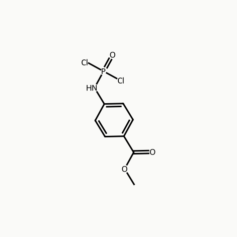 COC(=O)c1ccc(NP(=O)(Cl)Cl)cc1